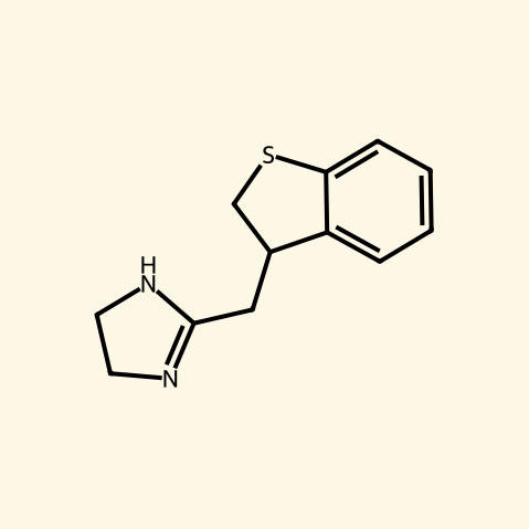 c1ccc2c(c1)SCC2CC1=NCCN1